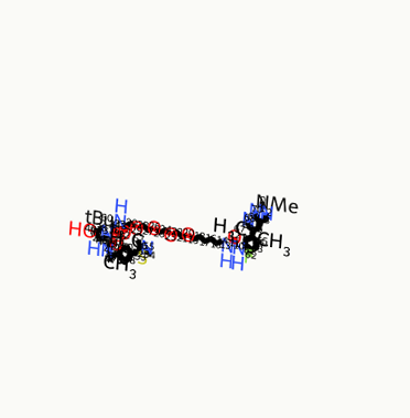 CNc1ncc2cc(-c3cc(NC(=O)NCCCCCCOCCOCCOCCOCC(=O)NC(C(=O)N4C[C@H](O)C[C@H]4C(=O)NC(C)c4ccc(-c5scnc5C)cc4)C(C)(C)C)c(F)cc3C)c(C)nc2n1